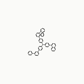 c1ccc(-c2cccc(-c3ccc(C(c4ccc(-c5cccc6ccccc56)cc4)c4ccc(-c5cccc6c5oc5ccccc56)cc4)cc3)c2)cc1